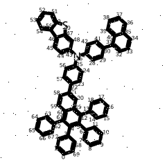 c1ccc(-c2c(-c3ccccc3)c(-c3ccccc3)c3cc(-c4ccc(N(c5ccc(-c6cccc7ccccc67)cc5)c5ccc6c(c5)sc5ccccc56)cc4)ccc3c2-c2ccccc2)cc1